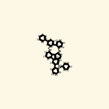 c1ccc(-c2ccc3c(c2)Sc2cccc(-c4ccc5c(c4)c4ccccc4n5-c4ccccc4)c2-c2ccccc2Sc2ccccc2-3)cc1